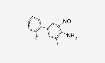 Cc1cc(-c2ccccc2F)cc(N=O)c1N